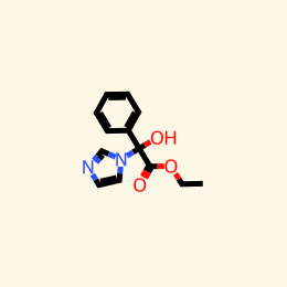 CCOC(=O)C(O)(c1ccccc1)n1ccnc1